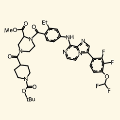 CCc1cc(Nc2nccn3c(-c4ccc(OC(F)F)c(F)c4F)cnc23)ccc1C(=O)N1CCN(C(=O)C2CCN(C(=O)OC(C)(C)C)CC2)CC1C(=O)OC